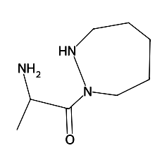 CC(N)C(=O)N1CCCCCN1